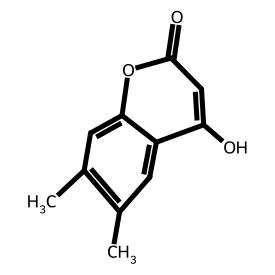 Cc1cc2oc(=O)cc(O)c2cc1C